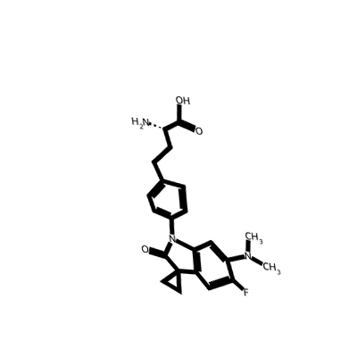 CN(C)c1cc2c(cc1F)C1(CC1)C(=O)N2c1ccc(CC[C@H](N)C(=O)O)cc1